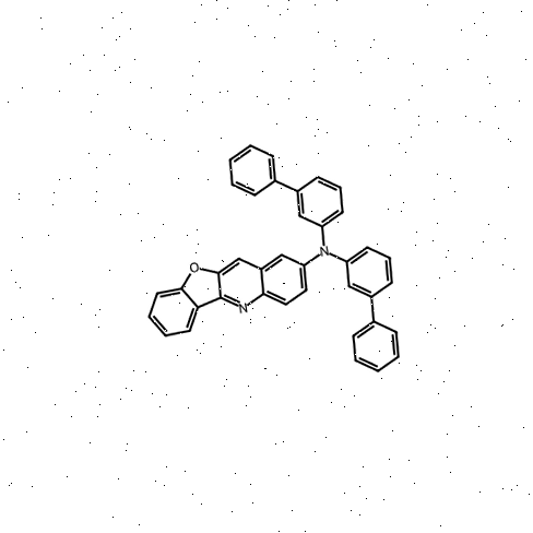 c1ccc(-c2cccc(N(c3cccc(-c4ccccc4)c3)c3ccc4nc5c(cc4c3)oc3ccccc35)c2)cc1